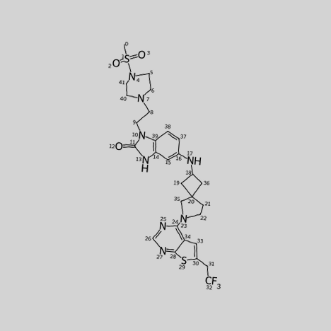 CS(=O)(=O)N1CCN(CCn2c(=O)[nH]c3cc(NC4CC5(CCN(c6ncnc7sc(CC(F)(F)F)cc67)C5)C4)ccc32)CC1